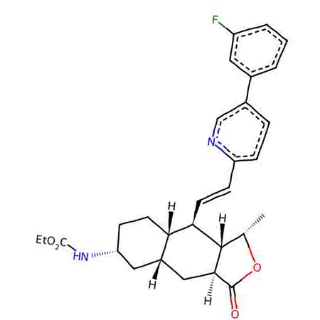 CCOC(=O)N[C@@H]1CC[C@H]2[C@@H](C1)C[C@@H]1C(=O)O[C@@H](C)[C@H]1[C@@H]2/C=C/c1ccc(-c2cccc(F)c2)cn1